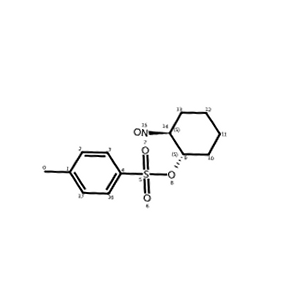 Cc1ccc(S(=O)(=O)O[C@H]2CCCC[C@@H]2N=O)cc1